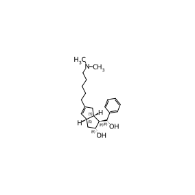 CN(C)CCCCCC1=C[C@H]2C[C@@H](O)[C@H]([C@@H](O)c3ccccc3)[C@H]2C1